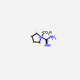 N=C(N)[N+]1(C(=O)O)CCCC1